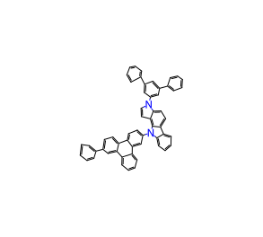 c1ccc(-c2cc(-c3ccccc3)cc(-n3ccc4c3ccc3c5ccccc5n(-c5ccc6c7ccc(-c8ccccc8)cc7c7ccccc7c6c5)c34)c2)cc1